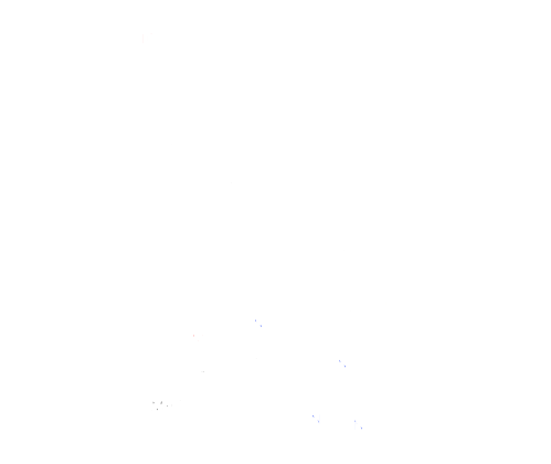 COC(=O)C[C@@H]1N=C(c2ccc(-c3ccc(O)cc3C)cc2)c2c(sc(C)c2C)-n2c(C)nnc21